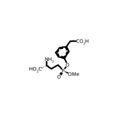 CO[P@@](=O)(CC[C@@H](N)C(=O)O)Oc1cccc(CC(=O)O)c1